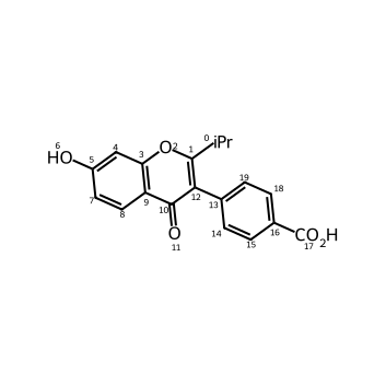 CC(C)c1oc2cc(O)ccc2c(=O)c1-c1ccc(C(=O)O)cc1